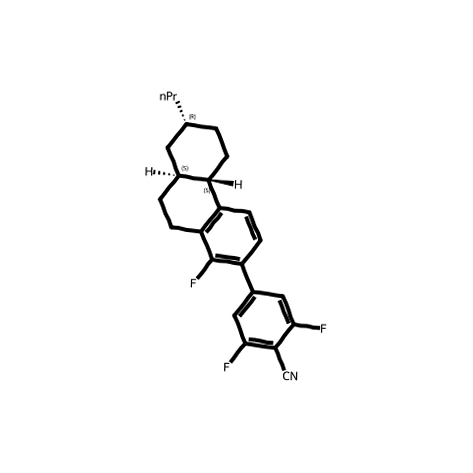 CCC[C@@H]1CC[C@@H]2c3ccc(-c4cc(F)c(C#N)c(F)c4)c(F)c3CC[C@H]2C1